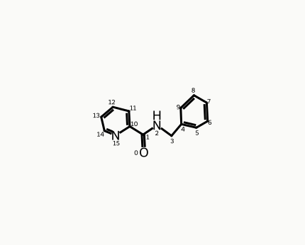 O=C(NCc1ccccc1)c1ccccn1